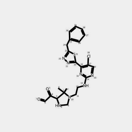 CC1(C)C(C(=O)C=O)NCN1CCNc1ncc(Cl)c(-c2nnc(Cc3ccccc3)s2)n1